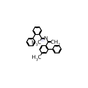 C=C(/N=C(\C)c1ccccc1-c1ccccc1)c1ccc(C)cc1-c1ccccc1